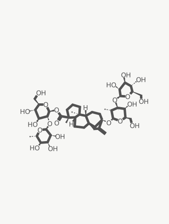 C=C1C[C@@]23CC[C@H]4[C@@](C)(CCC[C@@]4(C)C(=O)O[C@@H]4O[C@H](CO)[C@@H](O)[C@H](O)[C@H]4O[C@@H]4O[C@@H](C)[C@H](O)[C@@H](O)[C@H]4O)[C@@H]2CC[C@]1(O[C@@H]1O[C@H](CO)[C@@H](O)[C@H](O[C@@H]2O[C@H](CO)[C@@H](O)[C@H](O)[C@H]2O)[C@H]1C)C3